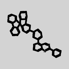 c1ccc(-c2ncc3c(-c4cccc(-c5ccc6c(c5)-c5ccccc5C65c6ccccc6-c6ccccc65)c4)cccc3n2)cc1